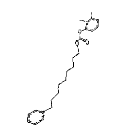 Cc1cccc(OC(=O)OCCCCCCCCCc2ccccc2)c1C